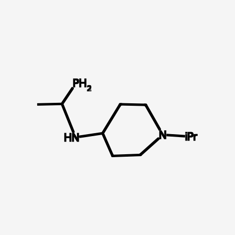 CC(P)NC1CCN(C(C)C)CC1